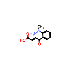 CN(N)c1ccccc1C(=O)C=CC(=O)O